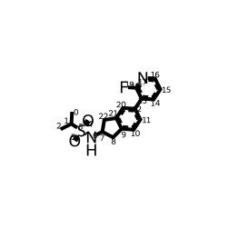 CC(C)S(=O)(=O)NC1Cc2ccc(-c3cccnc3F)cc2C1